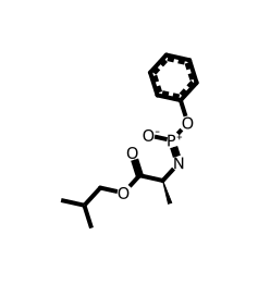 CC(C)COC(=O)[C@H](C)N=[P+]([O-])Oc1ccccc1